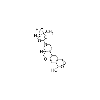 CC(C)(C)OC(=O)N1CCN2c3cc(C=O)c(C(=O)O)cc3OC[C@@H]2C1